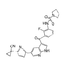 N#CC1(c2ccc(-c3cnc4[nH]cc(C(=O)c5cccc(NS(=O)(=O)N6CCCC6)c5F)c4c3)cn2)CC1